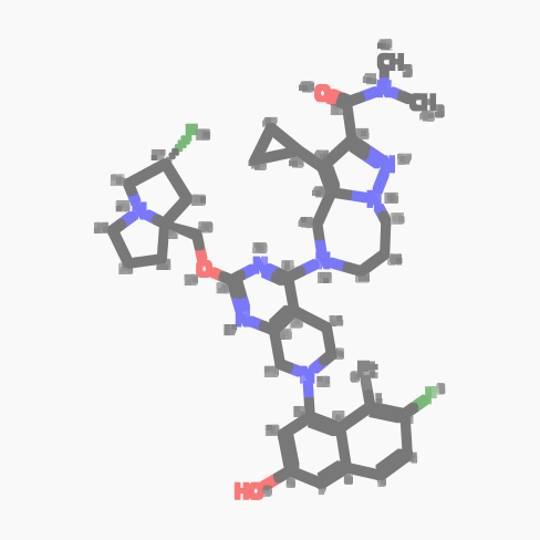 CCc1c(F)ccc2cc(O)cc(N3CCc4c(nc(OC[C@@]56CCCN5C[C@H](F)C6)nc4N4CCCn5nc(C(=O)N(C)C)c(C6CC6)c5C4)C3)c12